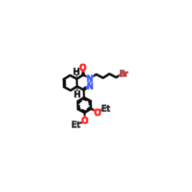 CCOc1ccc(C2=NN(CCCCBr)C(=O)[C@@H]3CC=CC[C@H]23)cc1OCC